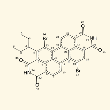 CCC(CC)c1c2c3c(ccc4c5c(Br)cc6c7c(ccc(c(c1Br)c34)c75)C(=O)NC6=O)C(=O)NC2=O